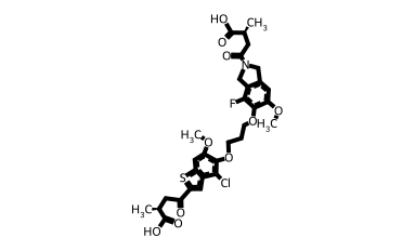 COc1cc2c(c(F)c1OCCCOc1c(OC)cc3sc(C(=O)C[C@H](C)C(=O)O)cc3c1Cl)CN(C(=O)C[C@H](C)C(=O)O)C2